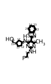 Cc1nc(NCCF)nc(N[C@H]2CC[C@@H](CO)C2)c1-c1nc2ccccc2s1